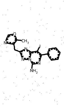 Cc1ocnc1Cc1nc2c(I)c(-c3ccccc3)nc(N)n2n1